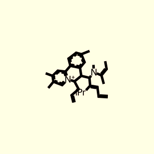 C=C/C=C(\C(C)C)C(C1c2cc(C)ccc2-c2cc(C)c(C)c[n+]2C1CC=C)N(C)/C(C)=C\C